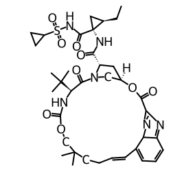 CC[C@@H]1C[C@]1(NC(=O)[C@@H]1C[C@@H]2CN1C(=O)[C@H](C(C)(C)C)NC(=O)OCC(C)(C)CC/C=C/C1=CC=CC3=NC(=NC13)C(=O)O2)C(=O)NS(=O)(=O)C1CC1